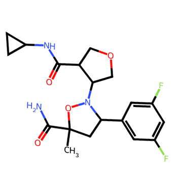 CC1(C(N)=O)CC(c2cc(F)cc(F)c2)N(C2COCC2C(=O)NC2CC2)O1